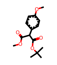 COC(=O)C(C(=O)OC(C)(C)C)c1ccc(OC)cc1